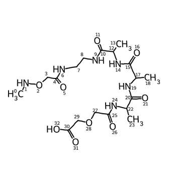 CNOCC(=O)NCCNC(=O)C(C)NC(=O)C(C)NC(=O)C(C)NC(=O)COCC(=O)O